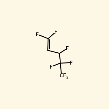 FC(F)=CC(F)C(F)(F)C(F)(F)F